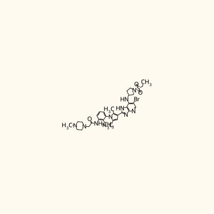 CCS(=O)(=O)N1CCC(Nc2c(Br)cnc3nc(-c4cc(C)n(-c5cccc(NC(=O)CN6CCN(C)CC6)c5C)c4C)[nH]c23)C1